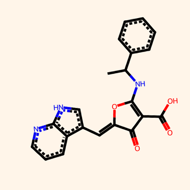 CC(NC1=C(C(=O)O)C(=O)C(=Cc2c[nH]c3ncccc23)O1)c1ccccc1